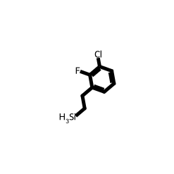 Fc1c(Cl)cccc1CC[SiH3]